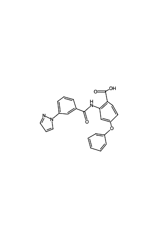 O=C(Nc1cc(Oc2ccccc2)ccc1C(=O)O)c1cccc(-n2cccn2)c1